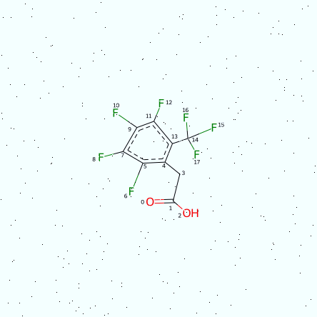 O=C(O)Cc1c(F)c(F)c(F)c(F)c1C(F)(F)F